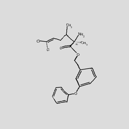 CC(CC=C(Cl)Cl)[C@@](C)(N)C(=O)OCc1cccc(Oc2ccccc2)c1